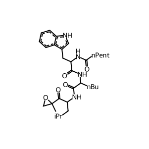 CCCCCC(=O)NC(Cc1c[nH]c2ccccc12)C(=O)NC(CCCC)C(=O)NC(CC(C)C)C(=O)C1(C)CO1